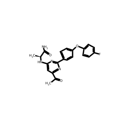 CC(=O)c1cc(N[C@@H](C)C(N)=O)nc(-c2ccc(Oc3ccc(F)cc3)cc2)n1